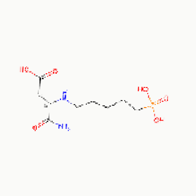 NC(=O)[C@H](CC(=O)O)NCCCCCP(=O)(O)O